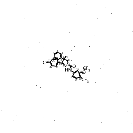 CC1(c2ccccc2)CN(C(=O)Nc2ccc(C(F)(F)F)c(OC(F)(F)F)c2)N=C1c1ccc(Cl)cc1